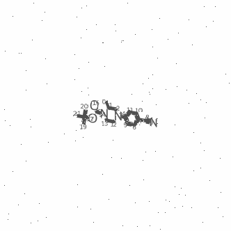 CC1CN(c2ccc(C#N)cc2)CCN1C(=O)OC(C)(C)C